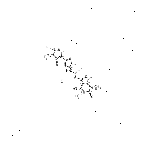 Cn1c(=O)c2c(CC(=O)Nc3nc(-c4ccc(F)c(C(F)(F)F)c4F)cs3)csc2n(C)c1=O.[K]